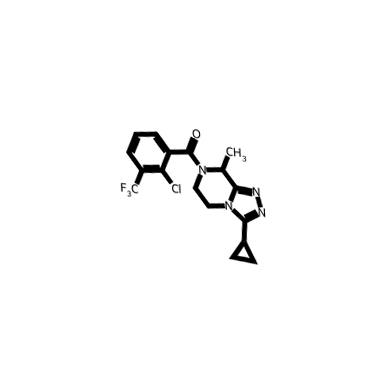 CC1c2nnc(C3CC3)n2CCN1C(=O)c1cccc(C(F)(F)F)c1Cl